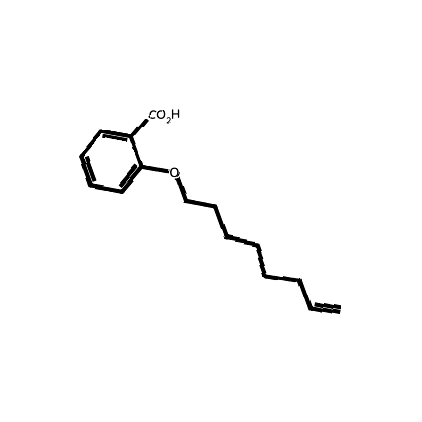 C=CCCCCCCOc1ccccc1C(=O)O